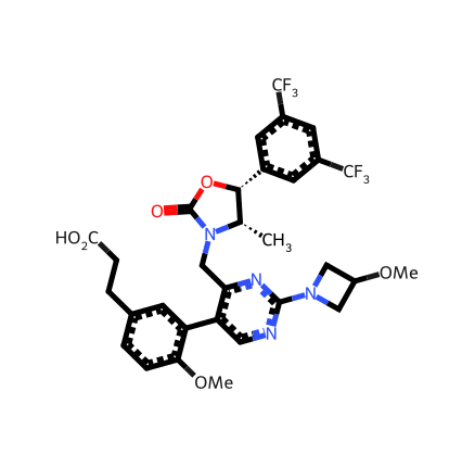 COc1ccc(CCC(=O)O)cc1-c1cnc(N2CC(OC)C2)nc1CN1C(=O)O[C@H](c2cc(C(F)(F)F)cc(C(F)(F)F)c2)[C@@H]1C